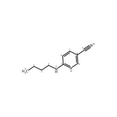 CCCCNc1ccc(C#N)cn1